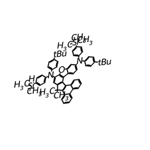 C[SiH](C)c1ccc(N(c2ccc(C(C)(C)C)cc2)c2cc3c(c4c2oc2cc(N(c5ccc(C(C)(C)C)cc5)c5ccc([Si](C)(C)C)cc5)ccc24)-c2c(c4ccccc4c4ccccc24)C3(C)C)cc1